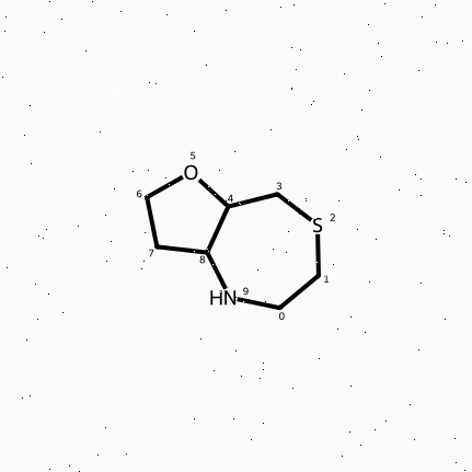 C1CSCC2OCCC2N1